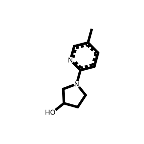 Cc1ccc(N2CCC(O)C2)nc1